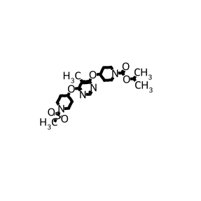 Cc1c(OC2CCN(C(=O)OC(C)C)CC2)ncnc1OC1CCN(S(C)(=O)=O)CC1